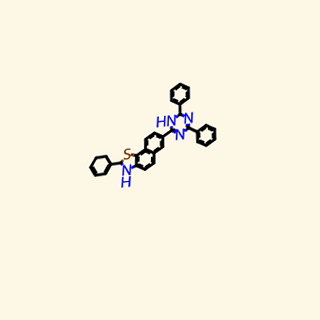 C1=CCCC(C2Nc3ccc4cc(C5=NC(c6ccccc6)=NC(c6ccccc6)N5)ccc4c3S2)=C1